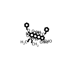 C=CCN(CC=C)[C@@H]1c2onc(OCc3ccccc3)c2C(=O)[C@@]2(O)C(O)=C3C(=O)c4c(OCc5ccccc5)cc(C=O)c(OC)c4C[C@H]3C[C@@H]12